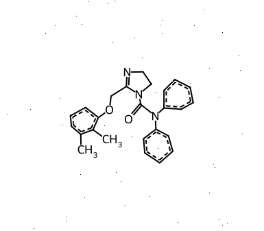 Cc1cccc(OCC2=NCCN2C(=O)N(c2ccccc2)c2ccccc2)c1C